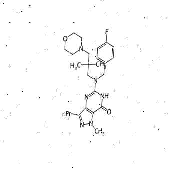 CCCc1nn(C)c2c(=O)[nH]c(N(Cc3ccc(F)cc3)CC(C)(C)CN3CCOCC3)nc12